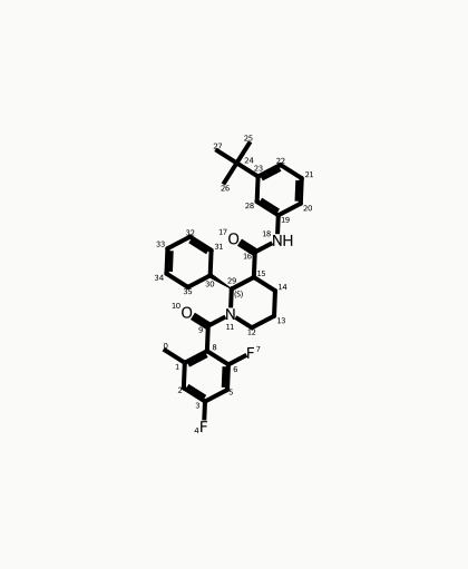 Cc1cc(F)cc(F)c1C(=O)N1CCCC(C(=O)Nc2cccc(C(C)(C)C)c2)[C@@H]1C1C=CC=CC1